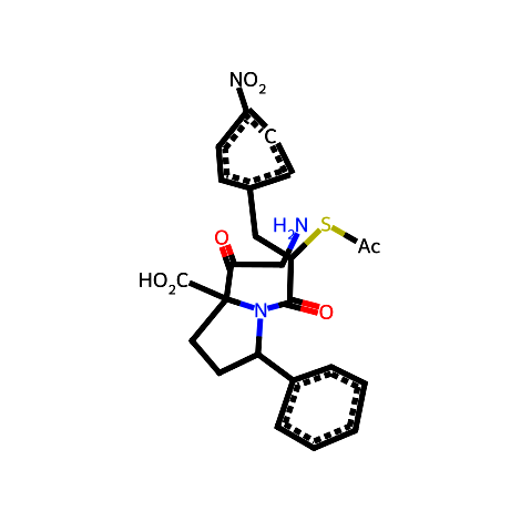 CC(=O)SC(Cc1ccc([N+](=O)[O-])cc1)C(=O)N1C(c2ccccc2)CCC1(C(=O)O)C(=O)CN